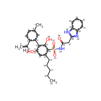 C=C(C)c1ccc(C)cc1-c1c(O)cc(CCCCC)c(S(=O)(=O)NC(=O)Cc2nc3ccccc3[nH]2)c1O